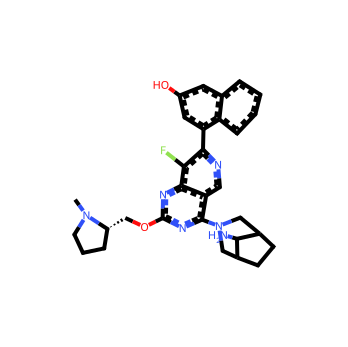 CN1CCC[C@H]1COc1nc(N2CC3CCC(C2)C3N)c2cnc(-c3cc(O)cc4ccccc34)c(F)c2n1